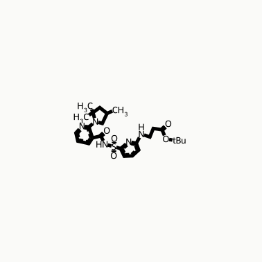 CC1CN(c2ncccc2C(=O)NS(=O)(=O)c2cccc(NCCC(=O)OC(C)(C)C)n2)C(C)(C)C1